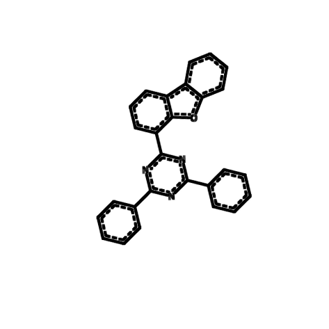 c1ccc(-c2nc(-c3ccccc3)nc(-c3cccc4c3oc3ccccc34)n2)cc1